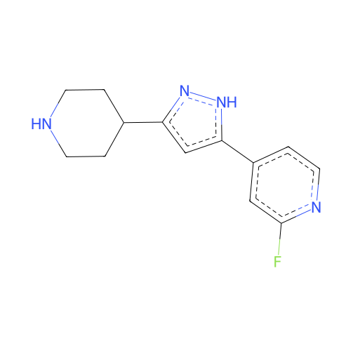 Fc1cc(-c2cc(C3CCNCC3)n[nH]2)ccn1